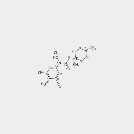 Cc1c(Cl)cc(N(O)C(=O)C[N+]2(C)CCN(C)CC2)cc1Cl.[Cl-]